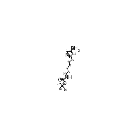 Bc1cnn(CCCCCCNC(=O)OC(C)(C)C)c1